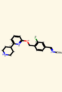 CON=Cc1ccc(COc2cccc(C3CCNCC3)n2)c(F)c1